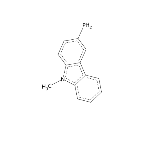 Cn1c2ccccc2c2cc(P)ccc21